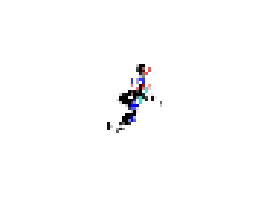 Cc1ccc(Cn2cc3c(n2)-c2c(oc(C(=O)NC[C@@H]4CCCO4)c2C(C)(F)F)CC32CCC2)nc1